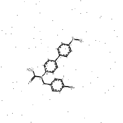 CC(C)(C)c1ccc(CN(C(=O)C(=O)O)c2ccc(-c3ccc(OC(F)(F)F)cc3)cc2)cc1